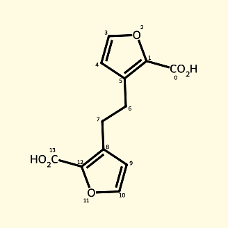 O=C(O)c1occc1CCc1ccoc1C(=O)O